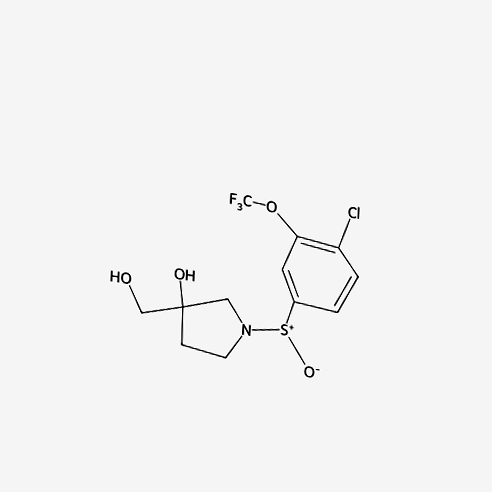 [O-][S+](c1ccc(Cl)c(OC(F)(F)F)c1)N1CCC(O)(CO)C1